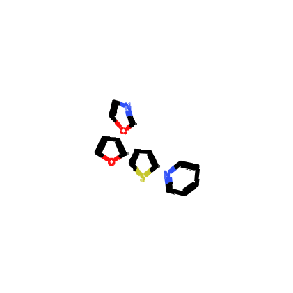 [c]1ccco1.[c]1cccs1.[c]1ncco1.c1ccncc1